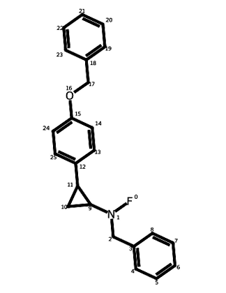 FN(Cc1ccccc1)C1CC1c1ccc(OCc2ccccc2)cc1